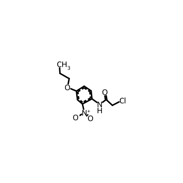 CCCOc1ccc(NC(=O)CCl)c([N+](=O)[O-])c1